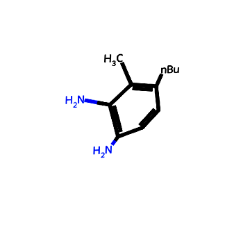 CCCCc1ccc(N)c(N)c1C